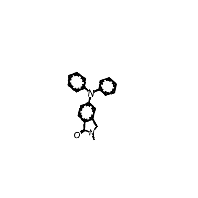 CN1Cc2cc(N(c3ccccc3)c3ccccc3)ccc2C1=O